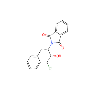 O=C1c2ccccc2C(=O)N1[C@@H](Cc1ccccc1)[C@@H](O)CCl